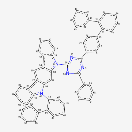 c1ccc(-c2nc(-c3ccc(-c4ccccc4-c4ccccc4)cc3)nc(-n3c4ccccc4c4cc5c6ccccc6n(-c6ccccc6-c6ccccc6)c5cc43)n2)cc1